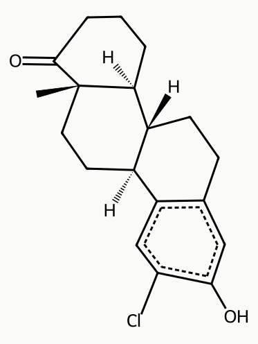 C[C@]12CC[C@@H]3c4cc(Cl)c(O)cc4CC[C@H]3[C@@H]1CCCC2=O